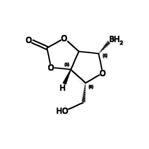 B[C@@H]1O[C@H](CO)[C@@H]2OC(=O)OC12